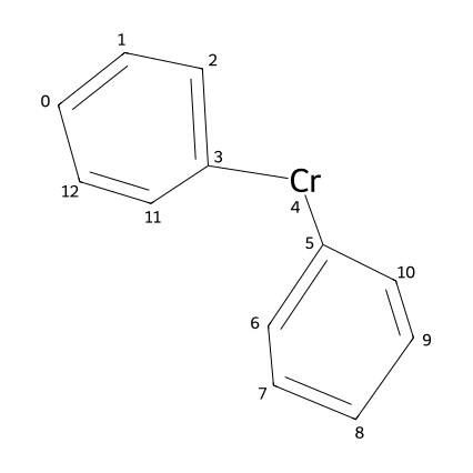 c1cc[c]([Cr][c]2ccccc2)cc1